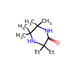 CCC1(CC)NC(C)(C)C(C)(C)NC1=O